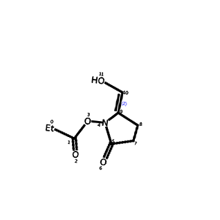 CCC(=O)ON1C(=O)CC/C1=C/O